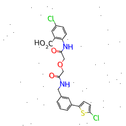 O=C(COCC(=O)Nc1ccc(Cl)cc1C(=O)O)NCc1cccc(-c2ccc(Cl)s2)c1